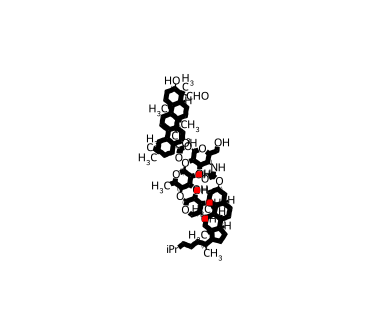 CC(C)CCC[C@@H](C)C1CC[C@H]2[C@H]3CC[C@H]4C[C@@H](OC(=O)N[C@H]5C(CO)O[C@@H](OC(=O)[C@]67CCC(C)(C)CC6C6=CCC8C9(C)CC[C@H](O)[C@](C)(C=O)[C@@H]9CC[C@]8(C)[C@]6(C)CC7O)C(O[C@@H]6OC(C)[C@H](O[C@@H]7OC[C@@H](O)C(O)C7O)C(O)C6O)C5O)CCC4(C)C3CCC12C